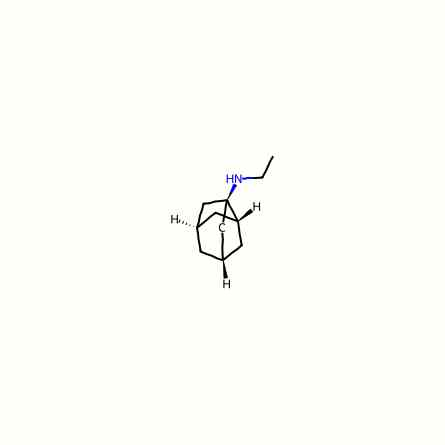 CCN[C@@]12C[C@@H]3C[C@@H](C[C@@H]1C3)C2